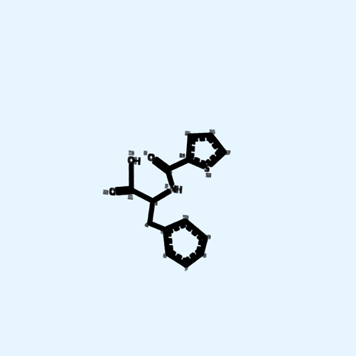 O=C(NC(Cc1ccccc1)C(=O)O)c1cccs1